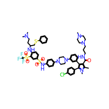 Cc1c(C(=O)NCCCN2CCN(C)CC2)c(-c2cccc(N3CCN(c4ccc(NS(=O)(=O)c5ccc(NC(CCN(C)C)CSc6ccccc6)c(S(=O)(=O)C(F)(F)F)c5)cc4)CC3)c2)c(-c2ccc(Cl)cc2)n1C